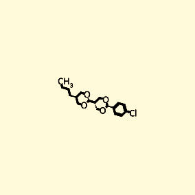 CCCC[C@H]1CO[C@H]([C@H]2CO[C@H](c3ccc(Cl)cc3)OC2)OC1